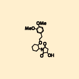 COc1ccc(CCOC2CCCCC2N2C(=O)CC(O)C2=O)cc1OC